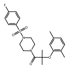 Cc1ccc(C)c(OC(C)(C)C(=O)N2CCN(S(=O)(=O)c3ccc(F)cc3)CC2)c1